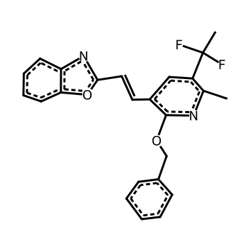 Cc1nc(OCc2ccccc2)c(/C=C/c2nc3ccccc3o2)cc1C(C)(F)F